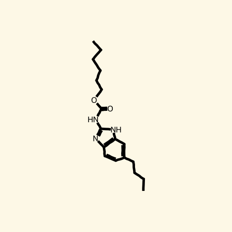 CCCCCCOC(=O)Nc1nc2ccc(CCCC)cc2[nH]1